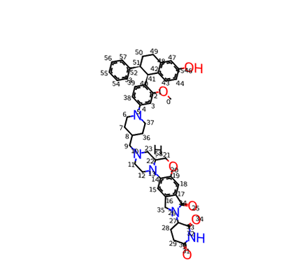 COc1cc(N2CCC(CN3CCN4c5cc6c(cc5OC[C@@H]4C3)C(=O)N(C3CCC(=O)NC3=O)C6)CC2)ccc1[C@@H]1c2ccc(O)cc2CC[C@@H]1c1ccccc1